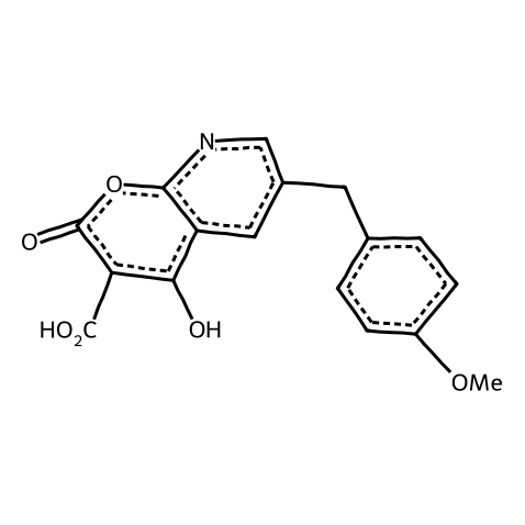 COc1ccc(Cc2cnc3oc(=O)c(C(=O)O)c(O)c3c2)cc1